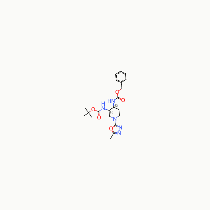 Cc1nnc(N2CC[C@H](NC(=O)OCc3ccccc3)[C@H](NC(=O)OC(C)(C)C)C2)o1